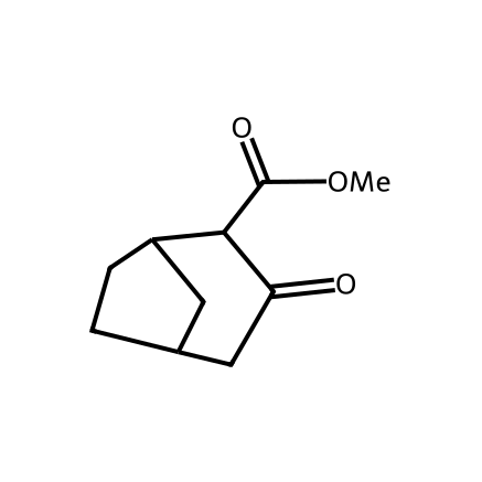 COC(=O)C1C(=O)CC2CCC1C2